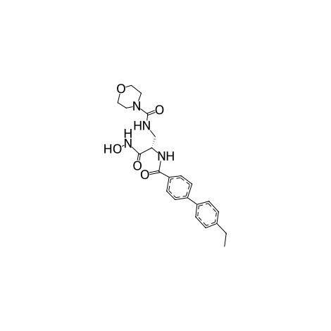 CCc1ccc(-c2ccc(C(=O)N[C@@H](CNC(=O)N3CCOCC3)C(=O)NO)cc2)cc1